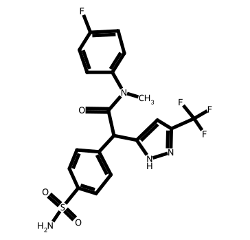 CN(C(=O)C(c1ccc(S(N)(=O)=O)cc1)c1cc(C(F)(F)F)n[nH]1)c1ccc(F)cc1